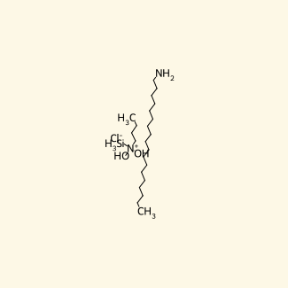 CCCCCCCCCCCCCCCCCCN.CCCC[N+](O)(O)[SiH3].[Cl-]